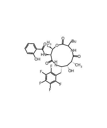 CCC(C)C1NC(=O)[C@H](C)[C@H](O)[C@H](Cc2c(F)c(F)c(F)c(F)c2F)NC(=O)[C@@H](NC(=O)c2ccccc2O)[C@@H](C)OC1=O